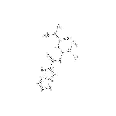 CC(C)C(=O)OC(OC(=O)c1cc2occc2[nH]1)C(C)C